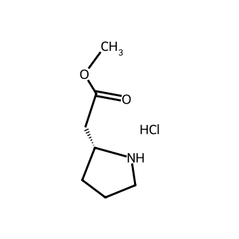 COC(=O)C[C@H]1CCCN1.Cl